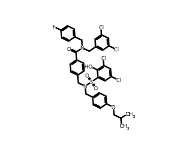 CC(C)COc1ccc(CN(Cc2ccc(C(=O)N(Cc3ccc(F)cc3)Cc3cc(Cl)cc(Cl)c3)cc2)S(=O)(=O)c2cc(Cl)cc(Cl)c2O)cc1